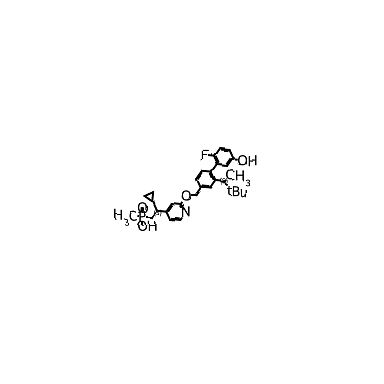 C[C@H](c1cc(COc2cc([C@@H](CP(C)(=O)O)C3CC3)ccn2)ccc1-c1cc(O)ccc1F)C(C)(C)C